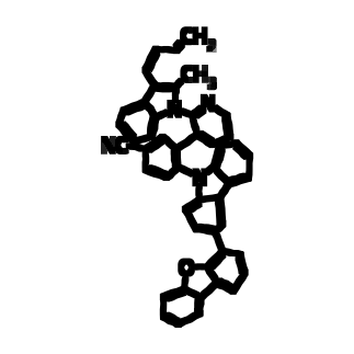 C=C/C=C\c1c(C)n(-c2ncccc2-c2cc(C#N)ccc2-n2c3ccccc3c3cc(-c4cccc5c4oc4ccccc45)ccc32)c2ccccc12